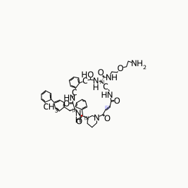 Cc1ccccc1-c1ccc(C[C@@H]2NC(=O)[C@]3(Cc4ccccc4)CCCN(C3)C(=O)/C=C/C(=O)NCC[C@@H](C(=O)NCCOCCN)NC(O)Cc3ccccc3CNC2=O)cc1